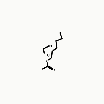 CCCCCCOC(C)=O.CCOC(=O)CC(C)C